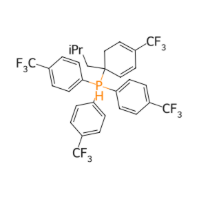 CC(C)CC1([PH](c2ccc(C(F)(F)F)cc2)(c2ccc(C(F)(F)F)cc2)c2ccc(C(F)(F)F)cc2)C=CC(C(F)(F)F)=CC1